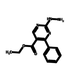 CCOC(=O)c1cnc(NN)nc1-c1ccccc1